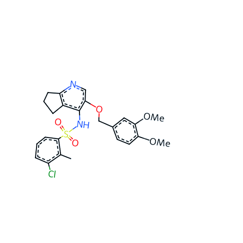 COc1ccc(COc2cnc3c(c2NS(=O)(=O)c2cccc(Cl)c2C)CCC3)cc1OC